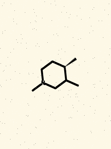 CC1CN(C)CC[C@@H]1C